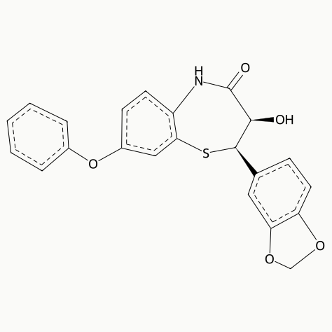 O=C1Nc2ccc(Oc3ccccc3)cc2S[C@H](c2ccc3c(c2)OCO3)[C@@H]1O